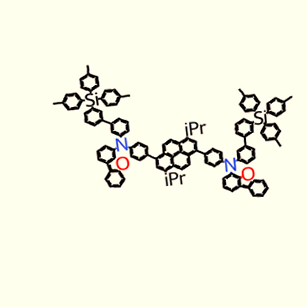 Cc1ccc([Si](c2ccc(C)cc2)(c2ccc(C)cc2)c2cccc(-c3cccc(N(c4ccc(-c5cc(C(C)C)c6ccc7c(-c8ccc(N(c9cccc(-c%10cccc([Si](c%11ccc(C)cc%11)(c%11ccc(C)cc%11)c%11ccc(C)cc%11)c%10)c9)c9cccc%10c9oc9ccccc9%10)cc8)cc(C(C)C)c8ccc5c6c78)cc4)c4cccc5c4oc4ccccc45)c3)c2)cc1